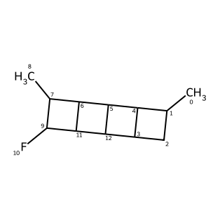 CC1CC2C1C1C3C(C)C(F)C3C21